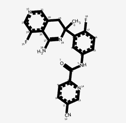 CC1(c2cc(NC(=O)c3ccc(C#N)cn3)ccc2F)Cc2cncc(F)c2C(N)=N1